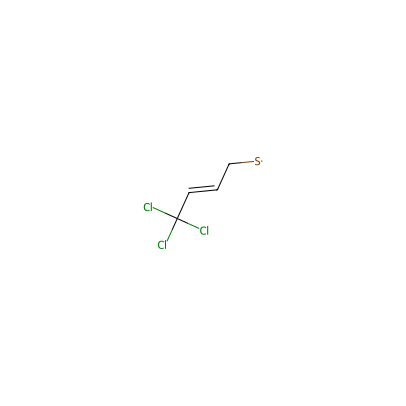 [S]CC=CC(Cl)(Cl)Cl